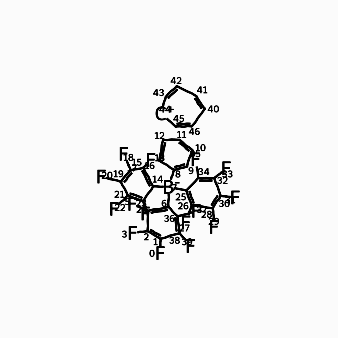 Fc1c(F)c(F)c([B-](c2ccccc2)(c2c(F)c(F)c(F)c(F)c2F)c2c(F)c(F)c(F)c(F)c2F)c(F)c1F.c1ccc[cH+]cc1